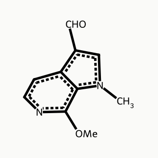 COc1nccc2c(C=O)cn(C)c12